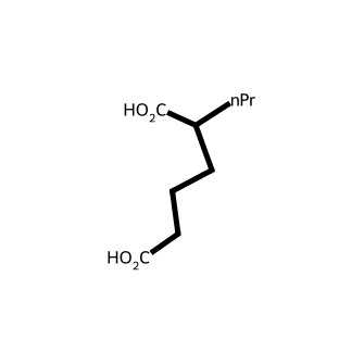 CCCC(CCCC(=O)O)C(=O)O